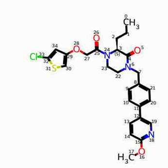 CCC[C@H]1C(=O)N(Cc2ccc(-c3ccc(OC)nc3)cc2)CCN1C(=O)COc1csc(Cl)c1